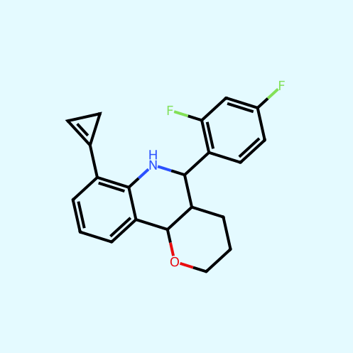 Fc1ccc(C2Nc3c(C4=CC4)cccc3C3OCCCC23)c(F)c1